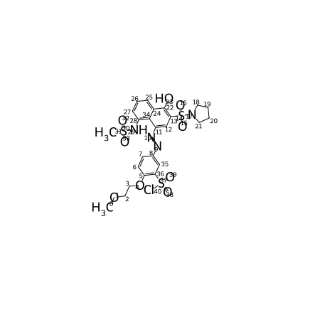 COCCOc1ccc(/N=N/c2cc(S(=O)(=O)N3CCCC3)c(O)c3cccc(NS(C)(=O)=O)c23)cc1S(=O)(=O)Cl